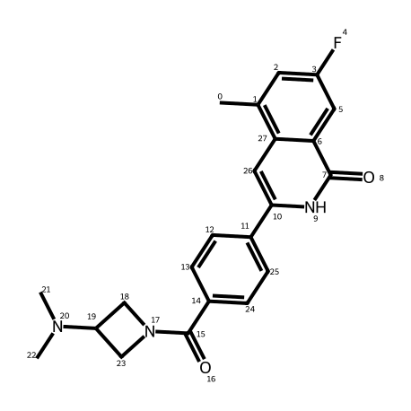 Cc1cc(F)cc2c(=O)[nH]c(-c3ccc(C(=O)N4CC(N(C)C)C4)cc3)cc12